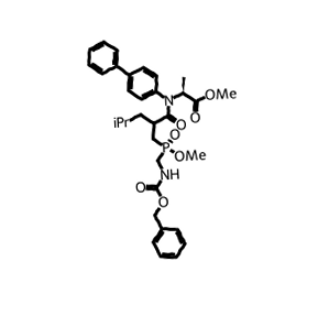 COC(=O)[C@H](C)N(C(=O)C(CC(C)C)CP(=O)(CNC(=O)OCc1ccccc1)OC)c1ccc(-c2ccccc2)cc1